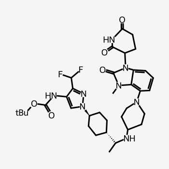 CC(NC1CCN(c2cccc3c2n(C)c(=O)n3C2CCC(=O)NC2=O)CC1)[C@H]1CC[C@H](n2cc(NC(=O)OC(C)(C)C)c(C(F)F)n2)CC1